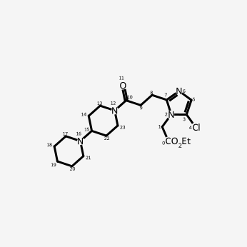 CCOC(=O)Cn1c(Cl)cnc1CCC(=O)N1CCC(N2CCCCC2)CC1